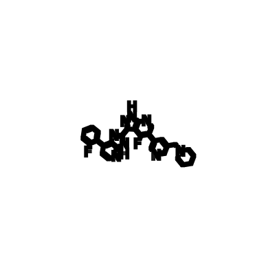 Fc1ccccc1-c1ccnc2[nH]c(-c3n[nH]c4ncc(-c5cncc(CN6CCCCC6)c5)c(F)c34)nc12